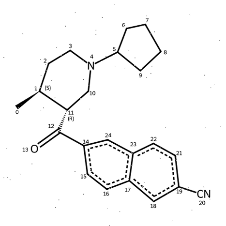 C[C@H]1CCN(C2CCCC2)C[C@@H]1C(=O)c1ccc2cc(C#N)ccc2c1